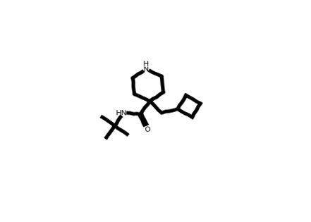 CC(C)(C)NC(=O)C1(CC2CCC2)CCNCC1